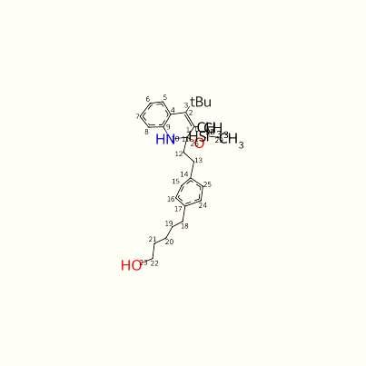 CC1=C(C(C)(C)C)c2ccccc2NC1(CCc1ccc(CCCCCO)cc1)O[SiH](C)C